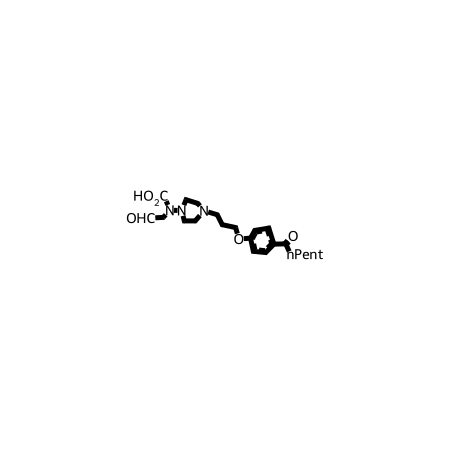 CCCCCC(=O)c1ccc(OCCCN2CCN(N(CC=O)C(=O)O)CC2)cc1